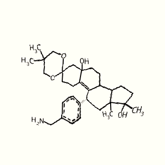 CC1(C)COC2(CCC3=C4C(CCC3(O)C2)C2CCC(C)(O)C2(C)C[C@@H]4c2ccc(CN)cc2)OC1